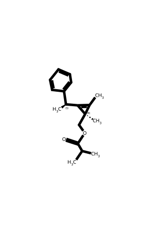 CC1=C([C@@H](C)c2ccccc2)[C@]1(C)COC(=O)C(C)C